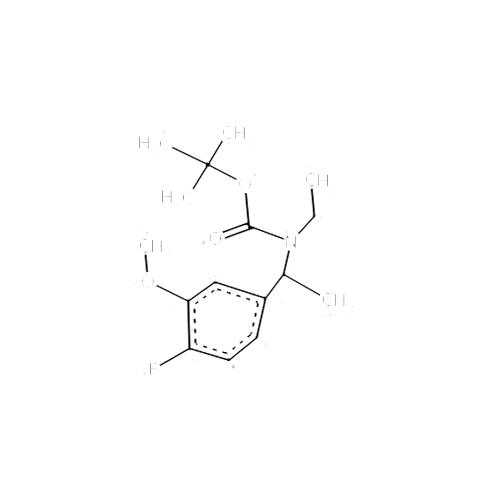 CCN(C(=O)OC(C)(C)C)C(C)c1ccc(F)c(OC)c1